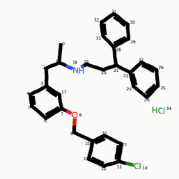 CC(Cc1cccc(OCc2ccc(Cl)cc2)c1)NCCC(c1ccccc1)c1ccccc1.Cl